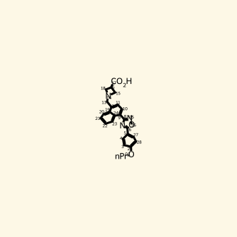 CCCOc1ccc(-c2nc(-c3ccc(CN4CC(C(=O)O)C4)c4ccccc34)no2)cc1